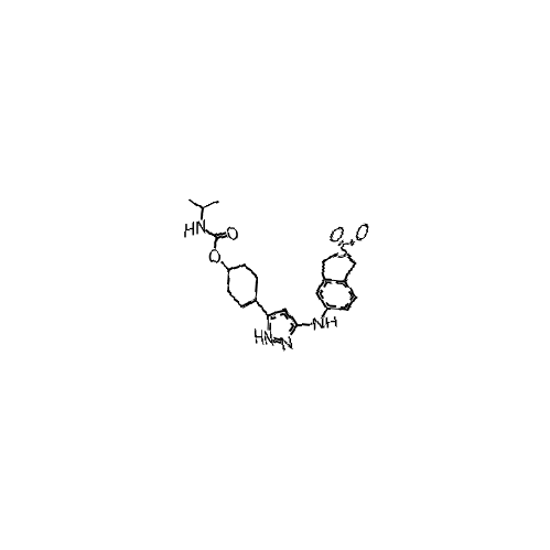 CC(C)NC(=O)OC1CCC(c2cc(Nc3ccc4c(c3)CS(=O)(=O)C4)n[nH]2)CC1